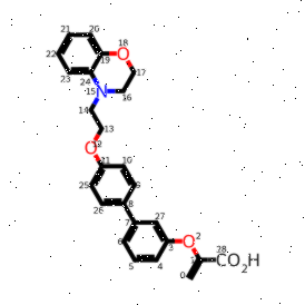 C=C(Oc1cccc(-c2ccc(OCCN3CCOc4ccccc43)cc2)c1)C(=O)O